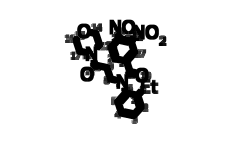 CCc1ccccc1N(CCC(=O)N1CCOCC1)C(=O)c1ccc([N+](=O)[O-])c([N+](=O)[O-])c1